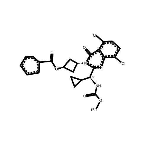 CC(C)(C)OC(=O)N[C@H](c1nc2c(Cl)ccc(Cl)c2c(=O)n1[C@H]1C[C@H](OC(=O)c2ccccc2)C1)C1CC1